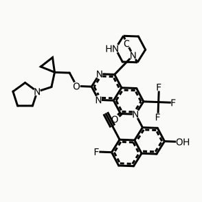 C#Cc1c(F)ccc2cc(O)cc(-n3c(C(F)(F)F)cc4c(N5CC6CCC5CN6)nc(OCC5(CN6CCCC6)CC5)nc4c3=O)c12